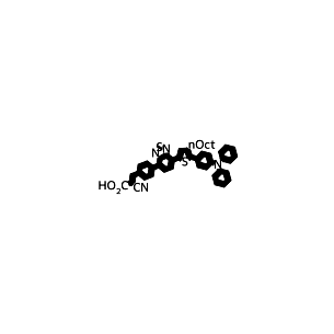 CCCCCCCCc1cc(-c2ccc(-c3ccc(/C=C(\C#N)C(=O)O)cc3)c3nsnc23)sc1-c1ccc(N(c2ccccc2)c2ccccc2)cc1